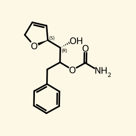 NC(=O)OC(Cc1ccccc1)[C@@H](O)[C@@H]1C=CCO1